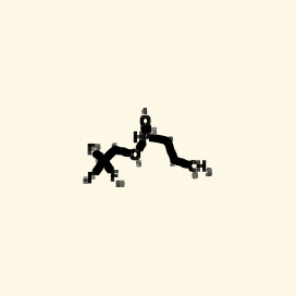 CCC[PH](=O)OCC(F)(F)F